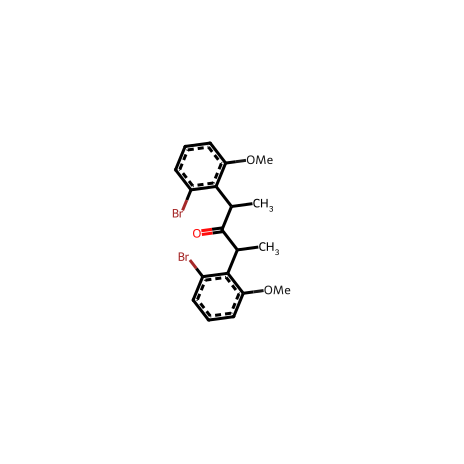 COc1cccc(Br)c1C(C)C(=O)C(C)c1c(Br)cccc1OC